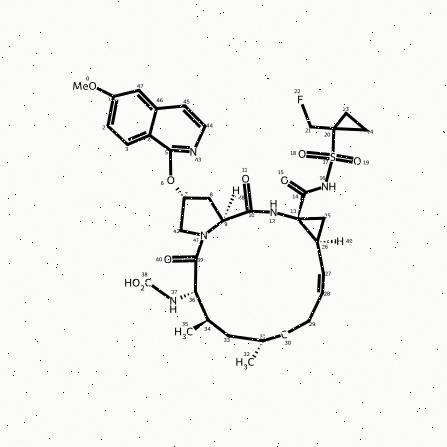 COc1ccc2c(O[C@@H]3C[C@H]4C(=O)N[C@]5(C(=O)NS(=O)(=O)C6(CF)CC6)C[C@H]5C=CCC[C@H](C)C[C@@H](C)[C@H](NC(=O)O)C(=O)N4C3)nccc2c1